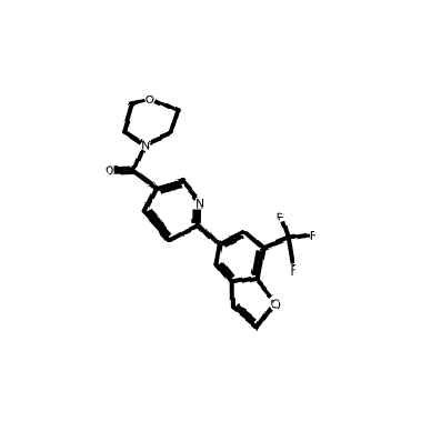 O=C(c1ccc(-c2cc(C(F)(F)F)c3occc3c2)nc1)N1CCOCC1